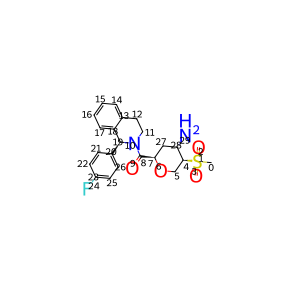 CS(=O)(=O)[C@H]1CO[C@@H](C(=O)N2CCc3ccccc3[C@@H]2c2ccc(F)cc2)C[C@@H]1N